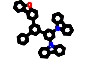 c1ccc(-c2cc(-c3cc(-n4c5ccccc5c5ccccc54)cc(-n4c5ccccc5c5ccccc54)c3)cc(-c3ccc4oc5ccccc5c4c3)c2)cc1